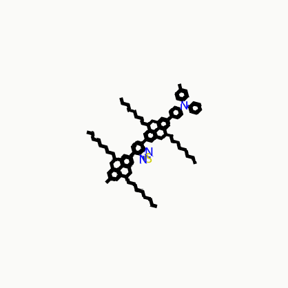 CCCCCCCCC1Cc2cc(-c3ccc(-c4cc5c6c(c4)C(CCCCCCCC)Cc4cc(-c7ccc(N(c8ccccc8)c8ccc(C)cc8)cc7)cc(c4-6)C(CCCCCCCC)C5)c4nsnc34)cc3c2-c2c(cc(C)cc21)CC3CCCCCCCC